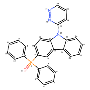 O=P(c1ccccc1)(c1ccccc1)c1ccc2c(c1)c1ccccc1n2-c1cccnn1